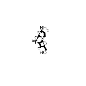 Nc1ccn(C2OC(CO)C(F)C2[18F])c(=O)n1